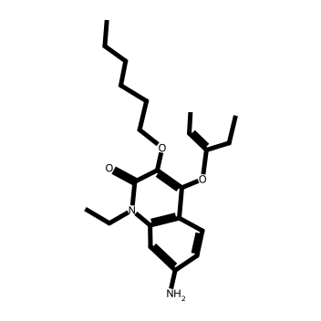 CC=C(CC)Oc1c(OCCCCCC)c(=O)n(CC)c2cc(N)ccc12